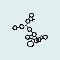 CC1(C)c2ccccc2-c2ccc(N(c3ccc(-c4ccccc4)cc3)c3ccc(-c4ccc(-c5cccc6c5oc5ccccc56)c5c4-c4ccccc4C5(/C4=C/C=C\CC#CC4)C4C=CC=CC4)cc3)cc21